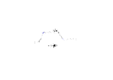 CCCCCCCC/C=C\CCCCCCCC(=O)OC(=O)CCCCCCC/C=C\CCCCCCCC.O=P(O)(O)O